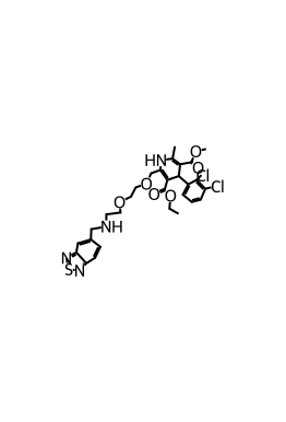 CCOC(=O)C1=C(COCCOCCNCc2ccc3nsnc3c2)NC(C)=C(C(=O)OC)C1c1cccc(Cl)c1Cl